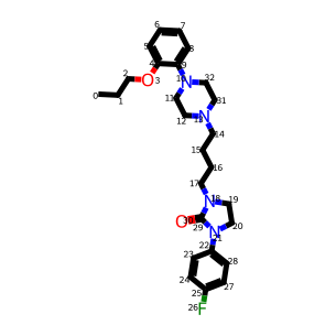 CCCOc1ccccc1N1CCN(CCCCN2CCN(c3ccc(F)cc3)C2=O)CC1